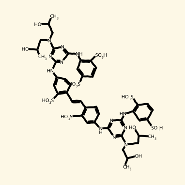 CC(O)CN(CC(C)O)c1nc(Nc2ccc(/C=C/c3ccc(Nc4nc(Nc5cc(S(=O)(=O)O)ccc5S(=O)(=O)O)nc(N(CC(C)O)CC(C)O)n4)cc3S(=O)(=O)O)c(S(=O)(=O)O)c2)nc(Nc2cc(S(=O)(=O)O)ccc2S(=O)(=O)O)n1